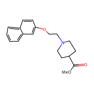 COC(=O)C1CCN(CCOc2ccc3ccccc3c2)CC1